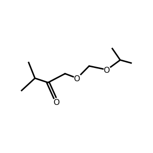 CC(C)OCOCC(=O)C(C)C